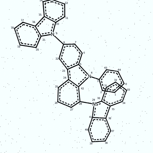 c1ccc(-n2c3ccc(-n4c5ccccc5c5ccccc54)cc3c3cccc(-n4c5ccccc5c5ccccc54)c32)cc1